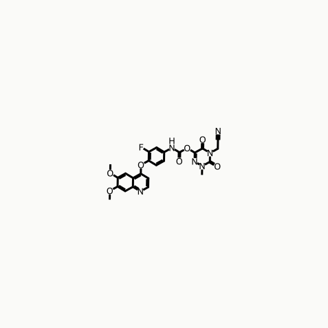 COc1cc2nccc(Oc3ccc(NC(=O)Oc4nn(C)c(=O)n(CC#N)c4=O)cc3F)c2cc1OC